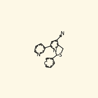 N#Cc1cc(-c2cccnc2)n2c1CSC2c1ccccc1